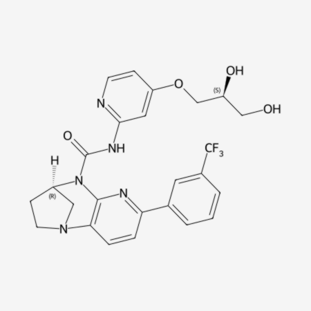 O=C(Nc1cc(OC[C@@H](O)CO)ccn1)N1c2nc(-c3cccc(C(F)(F)F)c3)ccc2N2CC[C@@H]1C2